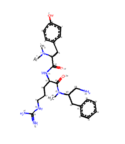 CC(=O)N(C)C(Cc1ccc(O)cc1)C(=O)NC(CCCNC(=N)N)C(=O)N(C)C(CN)Cc1ccccc1